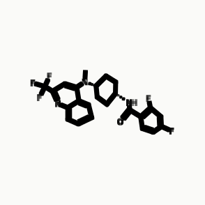 CN(c1cc(C(F)(F)F)nc2ccccc12)[C@H]1CC[C@@H](NC(=O)c2ccc(F)cc2F)CC1